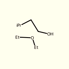 CC(C)CCO.CCOCC